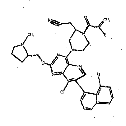 C=C(F)C(=O)N1CCN(c2nc(OCC3CCCN3C)nc3c(Cl)c(-c4cccc5cccc(Cl)c45)cnc23)CC1CC#N